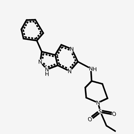 CCS(=O)(=O)N1CCC(Nc2ncc3c(-c4ccccc4)n[nH]c3n2)CC1